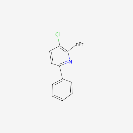 CCCc1nc(-c2ccccc2)ccc1Cl